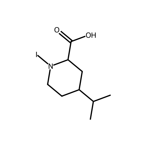 CC(C)C1CCN(I)C(C(=O)O)C1